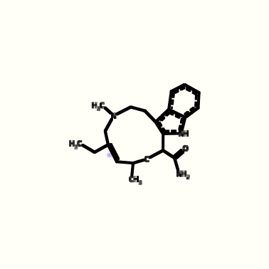 CC/C1=C/C(C)CC(C(N)=O)c2[nH]c3ccccc3c2CCN(C)C1